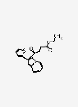 CCOC(=O)CCC(=O)c1c(-c2cccs2)cc2ccccn12